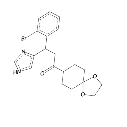 O=C(CC(c1c[nH]cn1)c1ccccc1Br)C1CCC2(CC1)OCCO2